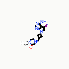 CN1CCN(CC2CC(n3cc(I)c4c(N)ncnc43)C2)CC1=O